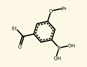 CCC(=O)c1cc(OC(C)C)cc(B(O)O)c1